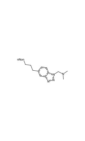 CCCCCCCCCCCCc1ccc2c(c1)nnn2CN(C)C